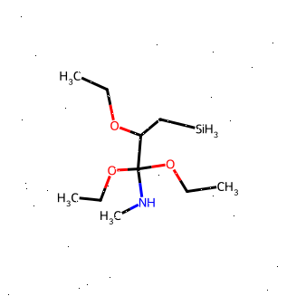 CCOC(C[SiH3])C(NC)(OCC)OCC